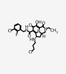 CCN1C[C@@H]2C[C@@H](NCCCCl)c3c(C(=O)NCc4cccc(Cl)c4F)c(=O)c(O)c(n32)C1=O